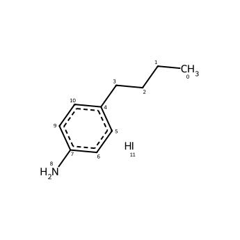 CCCCc1ccc(N)cc1.I